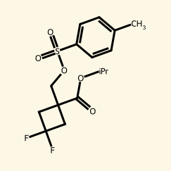 Cc1ccc(S(=O)(=O)OCC2(C(=O)OC(C)C)CC(F)(F)C2)cc1